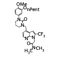 CCCCCOc1cc(N2CCCN(Cc3ccnc4c3cc(C(F)(F)F)n4CC(=O)N(C)C)C2=O)ccc1OC